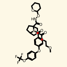 COCCOC(=O)N1CC2CCC(C(=O)NOC3CCCCO3)(C1)N2C(=O)c1ccc(Oc2ccc(OC(F)(F)F)cc2)cc1